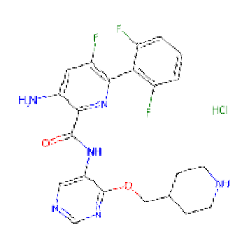 Cl.Nc1cc(F)c(-c2c(F)cccc2F)nc1C(=O)Nc1cncnc1OCC1CCNCC1